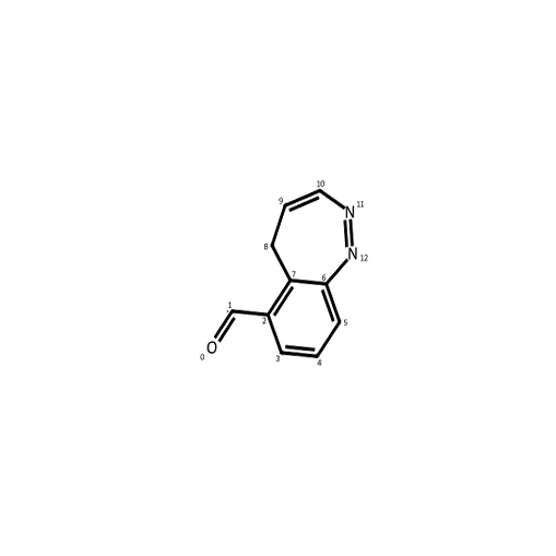 O=[C]c1cccc2c1CC=CN=N2